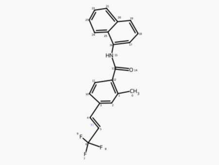 Cc1cc(/C=C/C(F)(F)F)ccc1C(=O)Nc1cccc2ccccc12